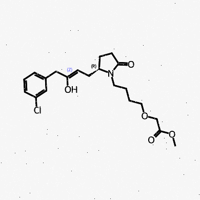 COC(=O)COCCCCN1C(=O)CC[C@@H]1C/C=C(\O)Cc1cccc(Cl)c1